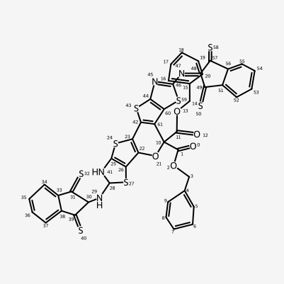 O=C(OCc1ccccc1)C1(C(=O)OCc2ccccc2)Oc2c(sc3c2SC(NC2C(=S)c4ccccc4C2=S)N3)-c2sc3nc(N=c4c(=S)c5ccccc5c4=S)sc3c21